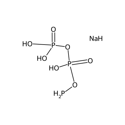 O=P(O)(O)OP(=O)(O)OP.[NaH]